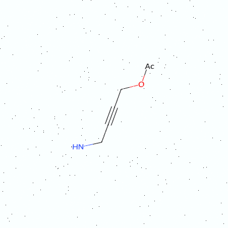 CC(=O)OCC#CC[NH]